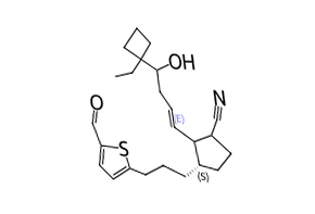 CCC1(C(O)C/C=C/C2C(C#N)CC[C@@H]2CCCc2ccc(C=O)s2)CCC1